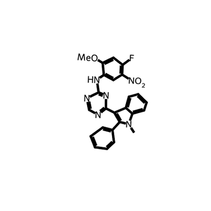 COc1cc(F)c([N+](=O)[O-])cc1Nc1ncnc(-c2c(-c3ccccc3)n(C)c3ccccc23)n1